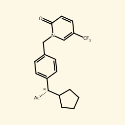 CC(=O)[C@H](c1ccc(Cn2cc(C(F)(F)F)ccc2=O)cc1)C1CCCC1